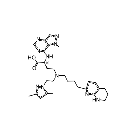 Cc1cc(C)n(CCN(CCCCc2ccc3c(n2)NCCC3)CC[C@H](Nc2ncnc3cnn(C)c23)C(=O)O)n1